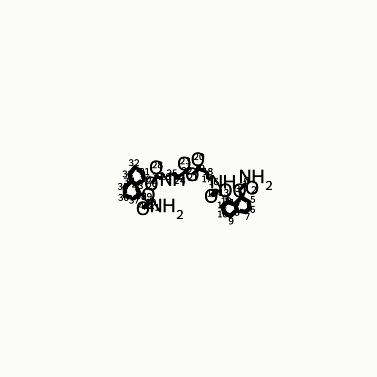 NC(=O)Oc1cccc2cccc(OC(=O)NCCC(=O)OC(=O)CCNC(=O)Oc3cccc4cccc(OC(N)=O)c34)c12